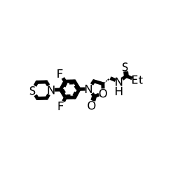 CCC(=S)NC[C@H]1CN(c2cc(F)c(N3CCSCC3)c(F)c2)C(=O)O1